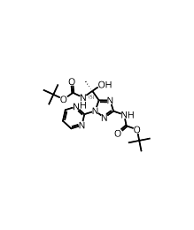 CC(C)(C)OC(=O)Nc1nc([C@](C)(O)NC(=O)OC(C)(C)C)n(-c2ncccn2)n1